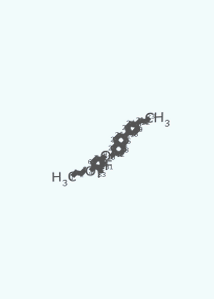 CCCCOc1ccc(OCC2CCC3CC(c4ccc(CCC)cc4)CCC3C2)c(F)c1F